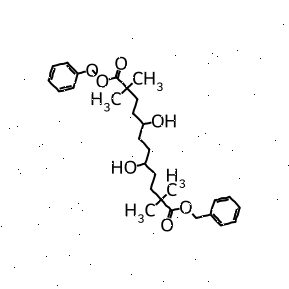 CC(C)(CCC(O)CCC(O)CCC(C)(C)C(=O)OOc1ccccc1)C(=O)OCc1ccccc1